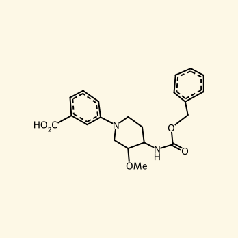 COC1CN(c2cccc(C(=O)O)c2)CCC1NC(=O)OCc1ccccc1